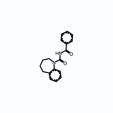 O=C(NC(=O)N1CCCCc2ccccc21)c1ccccc1